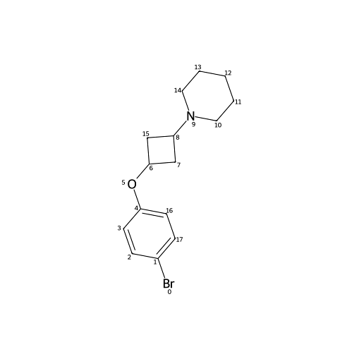 Brc1ccc(OC2CC(N3CCCCC3)C2)cc1